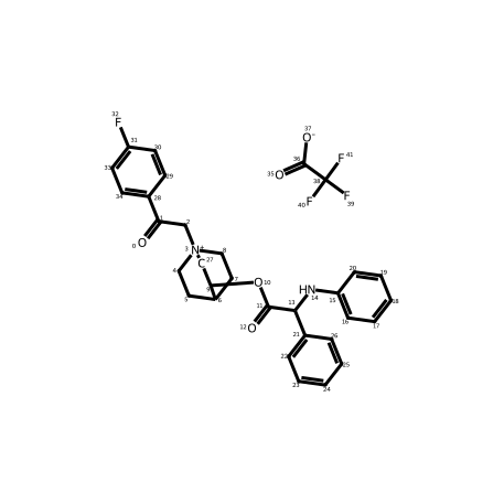 O=C(C[N+]12CCC(CC1)C(OC(=O)C(Nc1ccccc1)c1ccccc1)C2)c1ccc(F)cc1.O=C([O-])C(F)(F)F